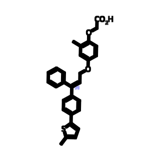 Cc1ccc(-c2ccc(/C(=C/COc3ccc(OCC(=O)O)c(C)c3)c3ccccc3)cc2)s1